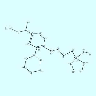 CCCC(C)c1ccc(OCCC[Si](OC)(OC)OC)c(C2CCCCC2)c1